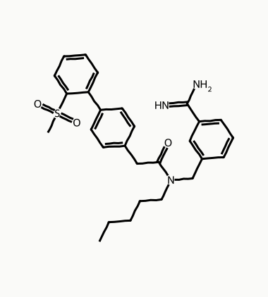 CCCCCN(Cc1cccc(C(=N)N)c1)C(=O)Cc1ccc(-c2ccccc2S(C)(=O)=O)cc1